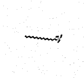 C=C[Si](C=C)(C=C)CCCCCCCCCCCCCCCCCC